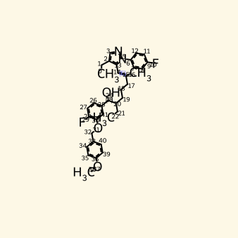 CCc1cnn(-c2ccc(F)cc2)c1/C=C(\C)CCCC(CC)[C@@H](O)c1ccc(F)c(OCc2ccc(OC)cc2)c1